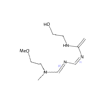 C=C(/N=C\N=C\N(C)CCOC)NCCO